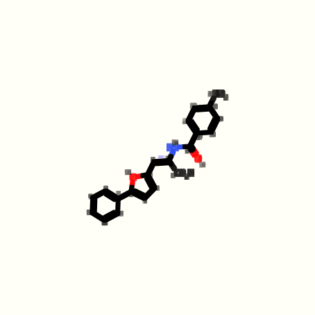 O=C(O)/C(=C\c1ccc(-c2ccccc2)o1)NC(=O)c1ccc([N+](=O)[O-])cc1